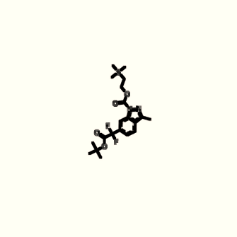 Cc1nn(C(=O)OCCS(C)(C)C)c2cc(C(F)(F)C(=O)OC(C)(C)C)ccc12